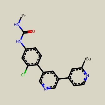 CC(C)NC(=O)Nc1ccc(-c2cncc(-c3ccnc(C(C)(C)C)c3)c2)c(Cl)c1